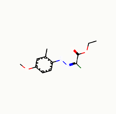 CCOC(=O)/C(Cl)=N\Nc1ccc(OC)cc1C